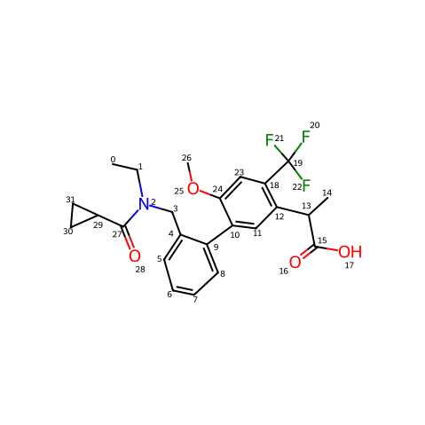 CCN(Cc1ccccc1-c1cc(C(C)C(=O)O)c(C(F)(F)F)cc1OC)C(=O)C1CC1